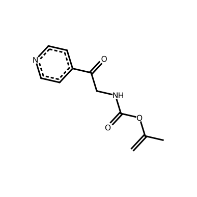 C=C(C)OC(=O)NCC(=O)c1ccncc1